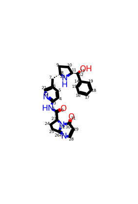 O=C(Nc1ccc(C[C@@H]2CC[C@H](C(O)c3ccccc3)N2)cn1)C1CCc2nccc(=O)n21